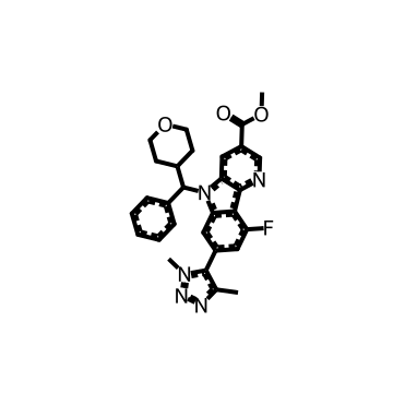 COC(=O)c1cnc2c3c(F)cc(-c4c(C)nnn4C)cc3n(C(c3ccccc3)C3CCOCC3)c2c1